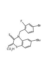 CC(C)(C)c1ccc2c(c1)N(Cc1ccc(Br)cc1F)C(=S)C(=CC(=O)O)S2